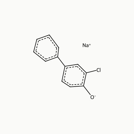 [Na+].[O-]c1ccc(-c2ccccc2)cc1Cl